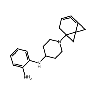 Nc1ccccc1NC1CCN(C23CC=C=C4CC42C3)CC1